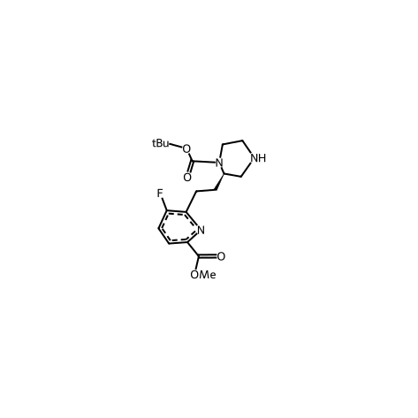 COC(=O)c1ccc(F)c(CC[C@@H]2CNCCN2C(=O)OC(C)(C)C)n1